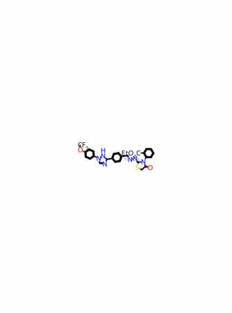 CCOC(=O)c1ccccc1N1C(=O)CS/C1=N\N=C\c1ccc(C2N=CN(c3ccc(OC(F)(F)F)cc3)N2)cc1